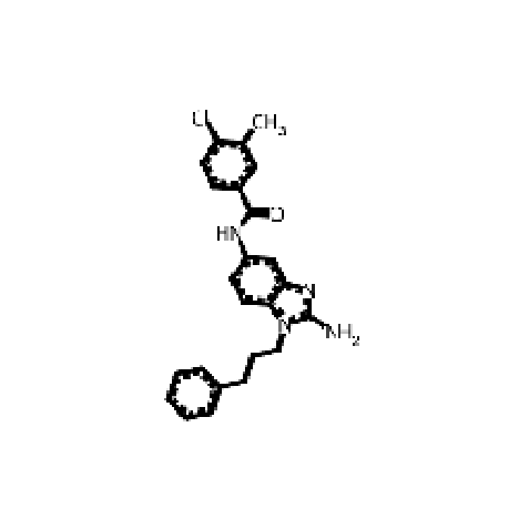 Cc1cc(C(=O)Nc2ccc3c(c2)nc(N)n3CCCc2ccccc2)ccc1Cl